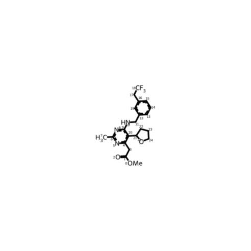 COC(=O)Cc1nc(C)nc(NCc2cccc(CC(F)(F)F)c2)c1C1CCCO1